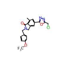 Cc1cc(-c2nnc(CCl)o2)cc2c1C(=O)N(Cc1ccc(OC(F)(F)F)cc1)C2